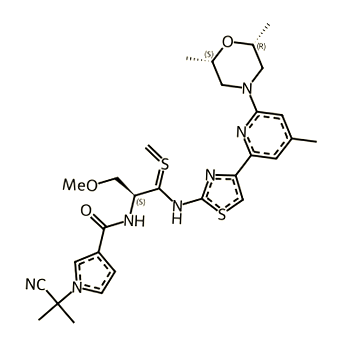 C=S=C(Nc1nc(-c2cc(C)cc(N3C[C@@H](C)O[C@@H](C)C3)n2)cs1)[C@H](COC)NC(=O)c1ccn(C(C)(C)C#N)c1